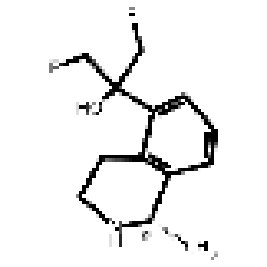 C[C@@H]1NCCc2c1cccc2C(O)(CF)CF